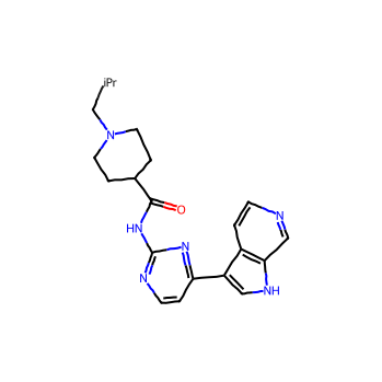 CC(C)CN1CCC(C(=O)Nc2nccc(-c3c[nH]c4cnccc34)n2)CC1